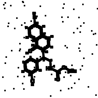 CC(C)(C)OC(=O)NCC(c1cccc(Cl)c1)n1cnc2cc(Br)ccc2c1=O